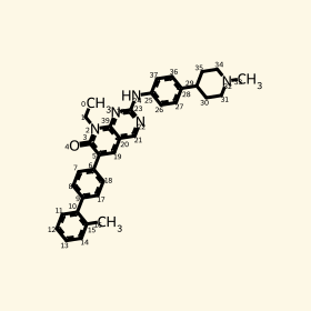 CCn1c(=O)c(-c2ccc(-c3ccccc3C)cc2)cc2cnc(Nc3ccc(C4CCN(C)CC4)cc3)nc21